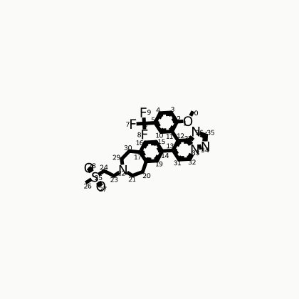 COc1ccc(C(F)(F)F)cc1-c1c(-c2ccc3c(c2)CCN(CCS(C)(=O)=O)CC3)ccn2n[c]nc12